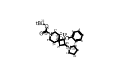 CCOc1ccccc1[C@@H]1CCCN1C1CC2(CCN(C(=O)OC(C)(C)C)CC2)C1